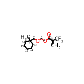 C=C(C(=O)OCOCC1(C)CCCCC1)C(F)(F)F